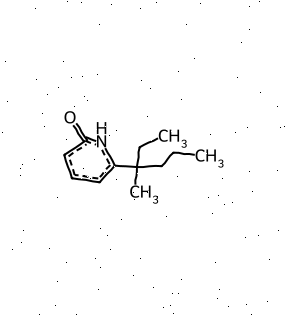 CCCC(C)(CC)c1cccc(=O)[nH]1